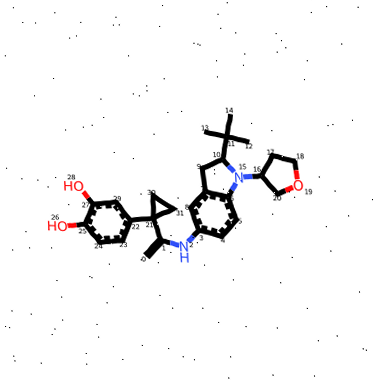 C=C(Nc1ccc2c(c1)CC(C(C)(C)C)N2C1CCOC1)C1(c2ccc(O)c(O)c2)CC1